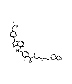 Cc1cc(Nc2nccn3c(-c4ccc(OC(F)F)cc4)cnc23)ccc1C(=O)NCCOCCN1CCC2(COC2)C1